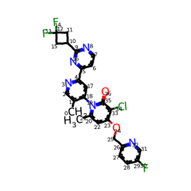 Cc1cnc(-c2ccnc(C3CC(F)(F)C3)n2)cc1-n1c(C)cc(OCc2ccc(F)cn2)c(Cl)c1=O